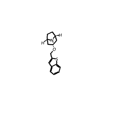 CN1[C@@H]2CC[C@H]1C[C@@H](OCc1cc3ccccc3s1)C2